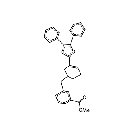 COC(=O)c1cccc(CC2CCC=C(c3nc(-c4ccccc4)c(-c4ccccc4)o3)C2)c1